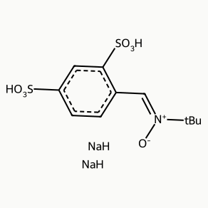 CC(C)(C)[N+]([O-])=Cc1ccc(S(=O)(=O)O)cc1S(=O)(=O)O.[NaH].[NaH]